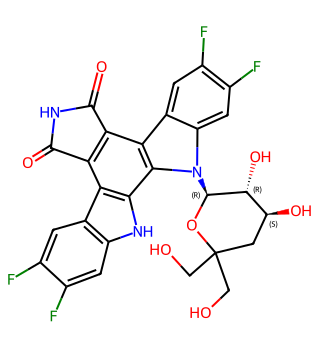 O=C1NC(=O)c2c1c1c3cc(F)c(F)cc3[nH]c1c1c2c2cc(F)c(F)cc2n1[C@@H]1OC(CO)(CO)C[C@H](O)[C@H]1O